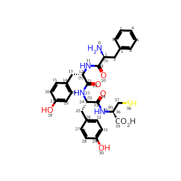 N[C@@H](Cc1ccccc1)C(=O)N[C@@H](Cc1ccc(O)cc1)C(=O)N[C@@H](Cc1ccc(O)cc1)C(=O)N[C@@H](CS)C(=O)O